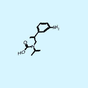 CC(CN(C(=O)O)C(C)C)c1cccc(N)c1